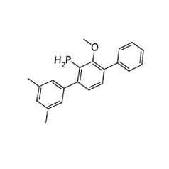 COc1c(-c2ccccc2)ccc(-c2cc(C)cc(C)c2)c1P